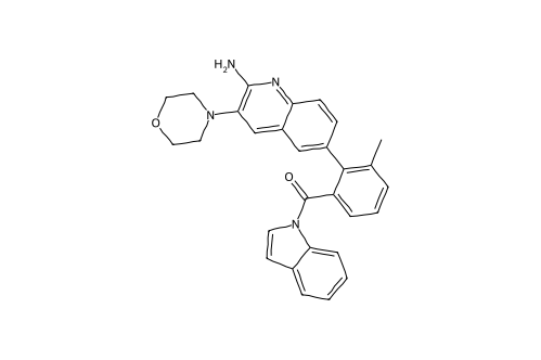 Cc1cccc(C(=O)n2ccc3ccccc32)c1-c1ccc2nc(N)c(N3CCOCC3)cc2c1